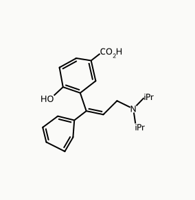 CC(C)N(CC=C(c1ccccc1)c1cc(C(=O)O)ccc1O)C(C)C